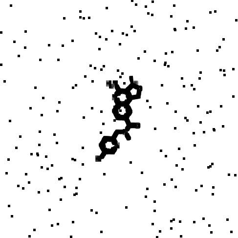 C[C@H]1OCc2c1c(N)nc1ccc(C(=O)N(C)Cc3ccc(Br)cn3)cc21